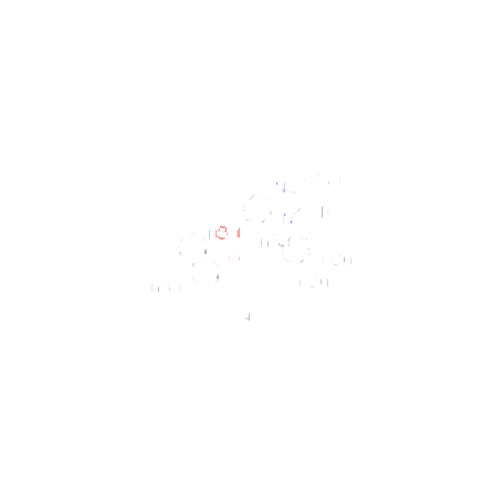 CCCCCCCCC(=Nc1ccc(CCCC)c(CCCC)c1)C(CCCC)=Nc1ccc(CCCC)c(CCCC)c1.CCCCc1cc(CC[Si](C)(C)C)c(O)c2c(O)cccc12